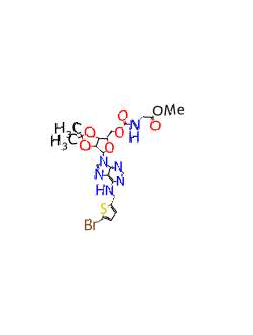 COC(=O)CNC(=O)OC[C@H]1O[C@@H](n2cnc3c(NCc4ccc(Br)s4)ncnc32)C2OC(C)(C)OC21